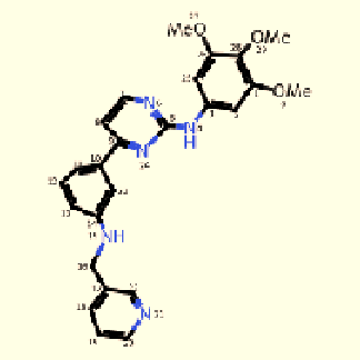 COc1cc(Nc2nccc(-c3cccc(NCc4cccnc4)c3)n2)cc(OC)c1OC